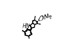 COc1c(C)cc2c(c1C)Cc1c-2[nH]c2c(C)cc(C)cc12